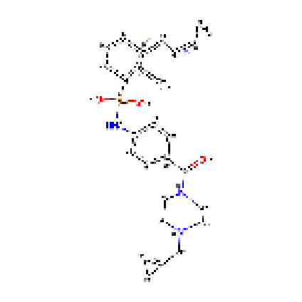 C=c1c(S(=O)(=O)Nc2ccc(C(=O)N3CCN(CC4CC4)CC3)cc2)ccc/c1=C/C=C\C